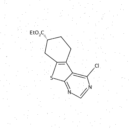 CCOC(=O)[C@@H]1CCc2c(sc3ncnc(Cl)c23)C1